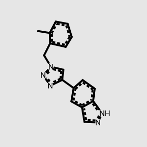 Cc1ccccc1Cn1cc(-c2ccc3[nH]ncc3c2)nn1